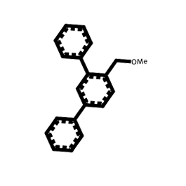 [CH2]OCc1ccc(-c2ccccc2)cc1-c1ccccc1